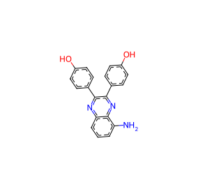 Nc1cccc2nc(-c3ccc(O)cc3)c(-c3ccc(O)cc3)nc12